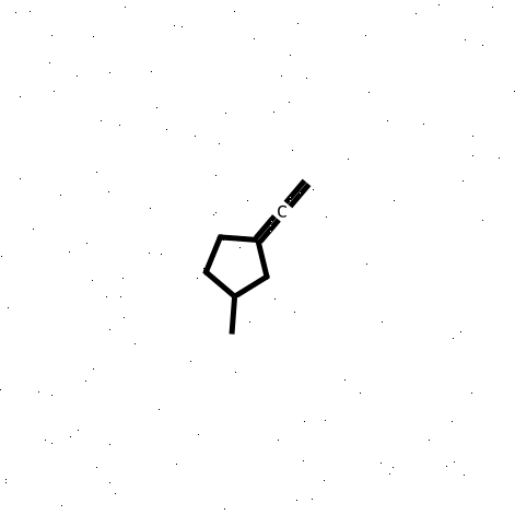 C=C=C1CCC(C)C1